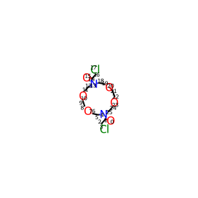 O=C(CCl)N1CCOCCOCCN(C(=O)CCl)CCOCCOCC1